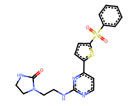 O=C1NCCN1CCNc1nccc(-c2ccc(S(=O)(=O)c3ccccc3)s2)n1